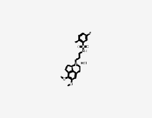 COc1cc2c3c(c1OC)CCC3N(CCCNS(=O)(=O)c1cc(F)ccc1C)CC2.Cl